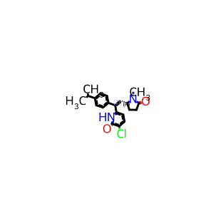 CC(C)c1ccc(/C(=C/[C@H]2CCC(=O)N2C)c2ccc(Cl)c(=O)[nH]2)cc1